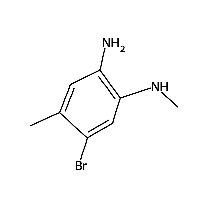 CNc1cc(Br)c(C)cc1N